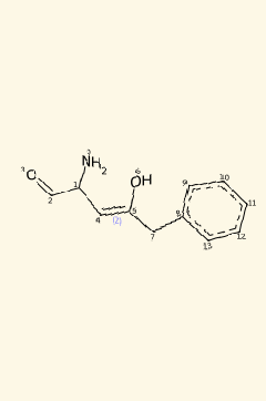 NC(C=O)/C=C(\O)Cc1ccccc1